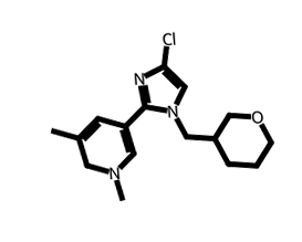 CC1=CC(c2nc(Cl)cn2CC2CCCOC2)=CN(C)C1